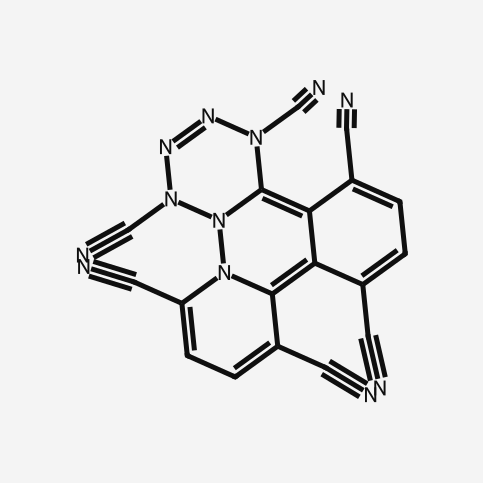 N#Cc1ccc(C#N)c2c1c1n(C#N)nnn(C#N)n-1n1c(C#N)ccc(C#N)c21